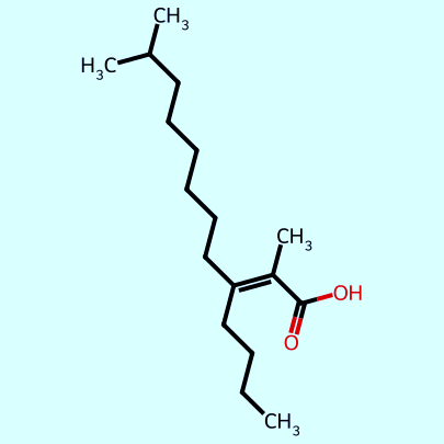 CCCCC(CCCCCCC(C)C)=C(C)C(=O)O